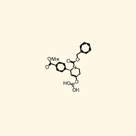 COC(=O)c1ccc([C@@H]2C=C(OB(O)O)CCN2C(=O)OCc2ccccc2)cc1